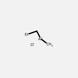 CC[CH2][Al+][CH3].[Cl-]